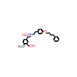 CC(=O)Oc1ccc([C@@H](O)CNCCc2ccc(OCCCCc3ccccc3)cc2)cc1CO